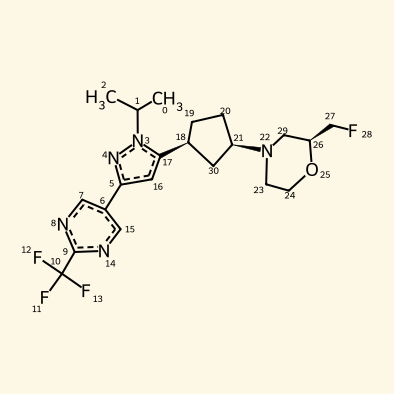 CC(C)n1nc(-c2cnc(C(F)(F)F)nc2)cc1[C@H]1CC[C@@H](N2CCO[C@H](CF)C2)C1